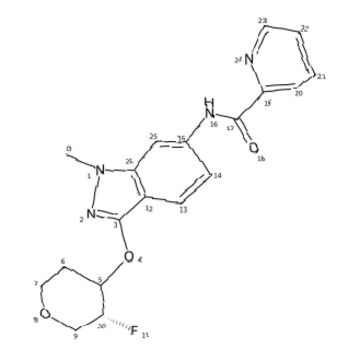 Cn1nc(OC2CCOC[C@H]2F)c2ccc(NC(=O)c3ccccn3)cc21